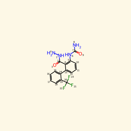 NNC(=O)c1c(NC(N)=O)cccc1-c1ccccc1C(F)(F)F